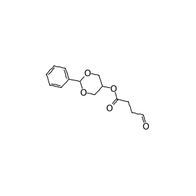 O=CCCC(=O)OC1COC(c2ccccc2)OC1